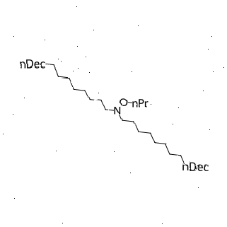 CCCCCCCCCCCCCCCCCCN(CCCCCCCCCCCCCCCCCC)OCCC